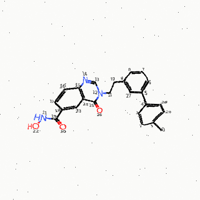 Cc1ccc(-c2cccc(CCn3cnc4ccc(C(=O)NO)cc4c3=O)c2)cc1